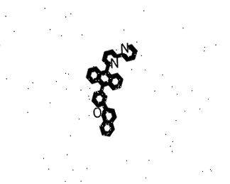 c1ccc(-c2cccc(-c3c4ccccc4c(-c4ccc5oc6c7ccccc7ccc6c5c4)c4ccccc34)n2)nc1